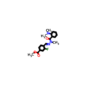 COC(=O)c1ccc(/C=N/N(C)C(=O)c2ccccc2N(C)C)c(F)c1